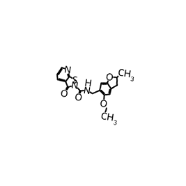 CCOc1cc2c(cc1CNC(=O)n1sc3ncccc3c1=O)OC(C)C2